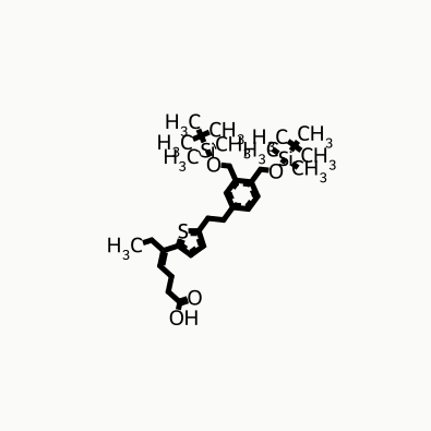 CC/C(=C/CCC(=O)O)c1ccc(CCc2ccc(CO[Si](C)(C)C(C)(C)C)c(CO[Si](C)(C)C(C)(C)C)c2)s1